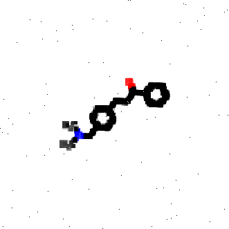 CN(C)Cc1ccc(C=CC(=O)c2ccccc2)cc1